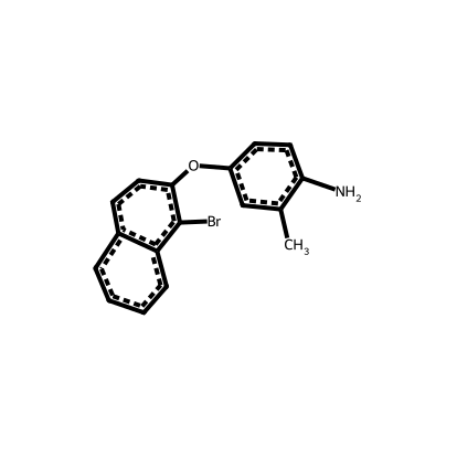 Cc1cc(Oc2ccc3ccccc3c2Br)ccc1N